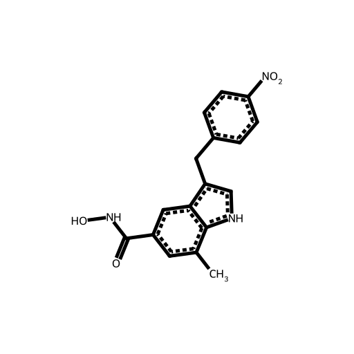 Cc1cc(C(=O)NO)cc2c(Cc3ccc([N+](=O)[O-])cc3)c[nH]c12